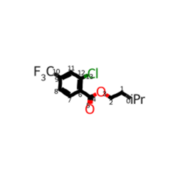 CC(C)CCOC(=O)c1ccc(C(F)(F)F)cc1Cl